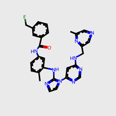 Cc1cncc(CNc2cc(-n3ccnc3Nc3cc(NC(=O)c4cccc(CF)c4)ccc3C)ncn2)n1